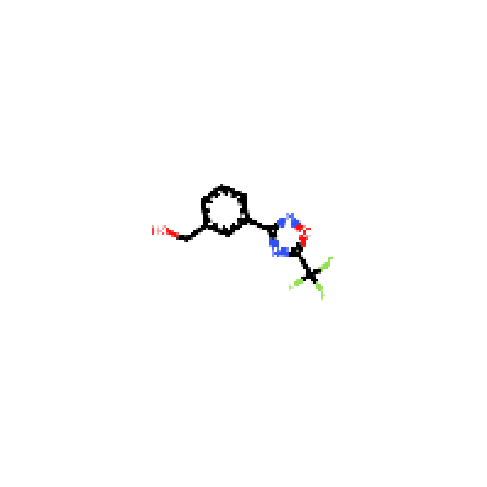 OCc1cccc(-c2noc(C(F)(F)F)n2)c1